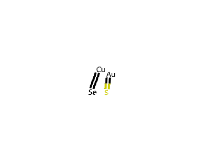 [Cu]=[Se].[S]=[Au]